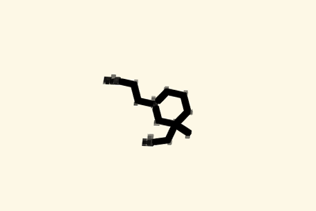 COCCN1CCCC(C)(CO)C1